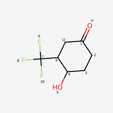 O=C1CCC(O)C(C(F)(F)F)C1